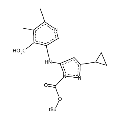 Cc1ncc(Nc2cc(C3CC3)nn2C(=O)OC(C)(C)C)c(C(=O)O)c1C